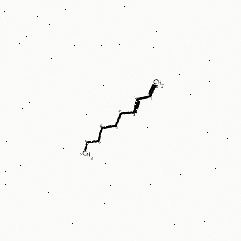 C=CC=CCCC[CH]CC